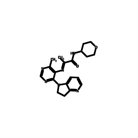 C/C(=N\c1c(C)ncnc1N1CCc2ncccc21)C(=O)NC1CCOCC1